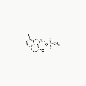 CS(=O)(=O)OC[C@H]1Cc2c(F)ccc3ccc(=O)n1c23